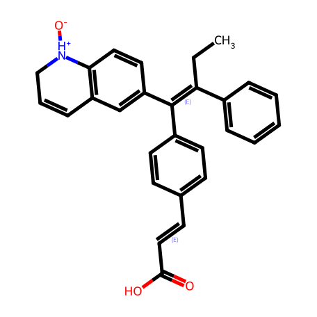 CC/C(=C(/c1ccc(/C=C/C(=O)O)cc1)c1ccc2c(c1)C=CC[NH+]2[O-])c1ccccc1